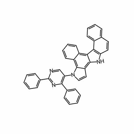 c1ccc(-c2ncc(-n3ccc4c5[nH]c6ccc7ccccc7c6c5c5ccccc5c43)c(-c3ccccc3)n2)cc1